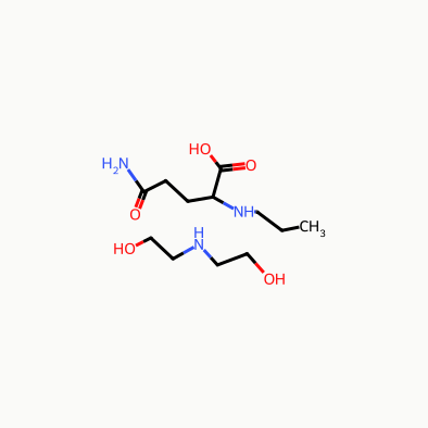 CCCNC(CCC(N)=O)C(=O)O.OCCNCCO